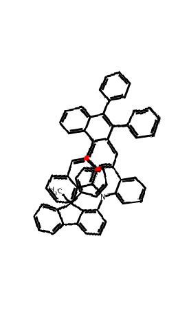 CC1(c2ccccc2)c2ccccc2-c2cccc(N(c3ccccc3-c3ccc4c(c3)c(-c3ccccc3)c(-c3ccccc3)c3ccccc34)c3cccc4ccccc34)c21